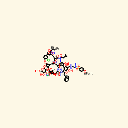 CCCCCOc1ccc(S(=O)(=O)NCCNCc2c(O)cc3c(c2O)-c2cc(ccc2O)[C@H]2CC(=O)[C@@H]4NC(=O)[C@H](CC(=O)NC(=O)CC5CC5)CC(=O)[C@H](NC(=O)[C@H](CC)CC(C)C)[C@H](O)c5ccc(c(Cl)c5)Oc5cc4cc(c5O[C@@H]4O[C@H](CO)[C@@H](O)[C@H](O)[C@H]4O[C@H]4C[C@](C)(N)[C@H](O)[C@H](C)O4)Oc4ccc(cc4Cl)[C@@H](O)[C@H](NC2=O)C(=O)N[C@@H]3C(=O)CC2C3CC4CC(C3)CC2C4)cc1